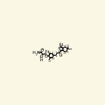 CCc1cc(CCC(=O)c2sc(CC)c3c2CCC(C)(C)C3)cc(C)c1OCC(O)C(N)=O